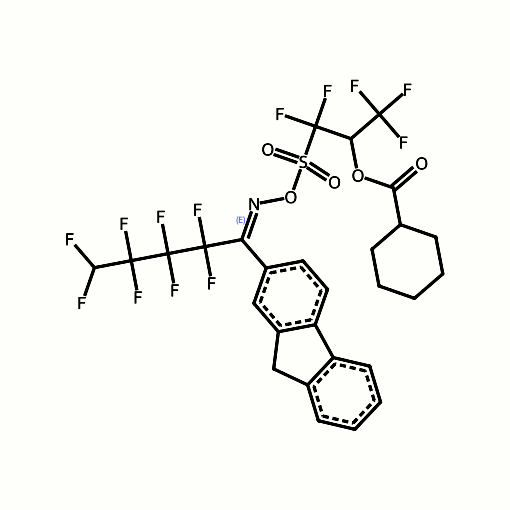 O=C(OC(C(F)(F)F)C(F)(F)S(=O)(=O)O/N=C(\c1ccc2c(c1)Cc1ccccc1-2)C(F)(F)C(F)(F)C(F)(F)C(F)F)C1CCCCC1